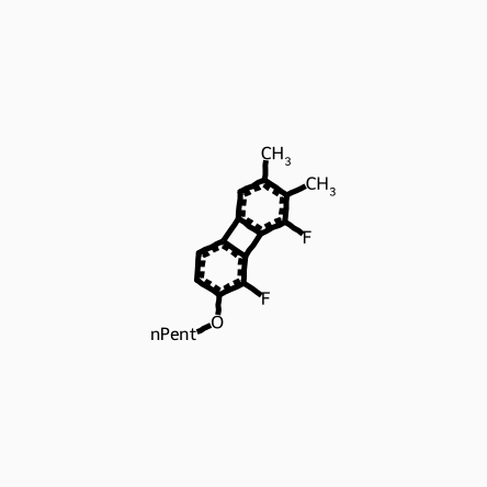 CCCCCOc1ccc2c(c1F)-c1c-2cc(C)c(C)c1F